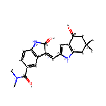 CN(C)C(=O)c1ccc2c(c1)/C(=C/c1cc3c([nH]1)CC(C)(C)CC3=O)C(=O)N2